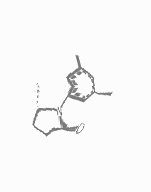 Cc1cc(C)cc(N2C(=O)CC[C@@H]2C)c1